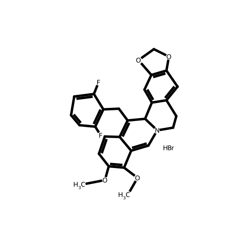 Br.COc1ccc2c(c1OC)=CN1CCc3cc4c(cc3C1C=2Cc1c(F)cccc1F)OCO4